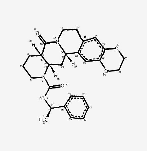 C[C@@H](NC(=O)N1CCC[C@@H]2C(=O)N3CCc4cc5c(cc4[C@@H]3C[C@@H]21)OCCO5)c1ccccc1